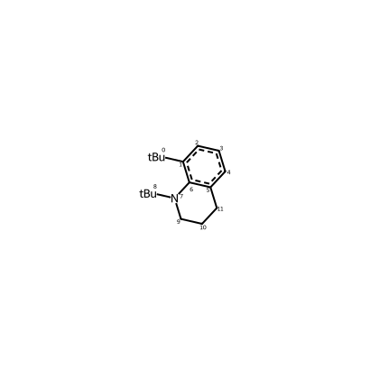 CC(C)(C)c1cccc2c1N(C(C)(C)C)CCC2